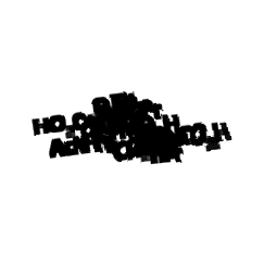 CCC[C@H](NC(=O)CN(C)C(=O)[C@@H](NC(=O)[C@@H](NC(=O)[C@H](CCC(=O)O)NC(=O)[C@H](CCC(=O)O)NC(C)=O)C(C)C)C(C)C)C(=O)C(=O)NCC(=O)O